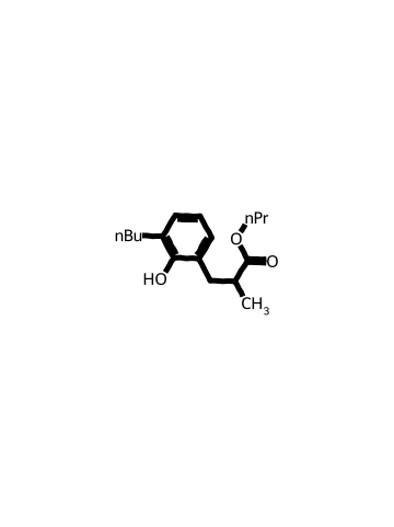 CCCCc1cccc(CC(C)C(=O)OCCC)c1O